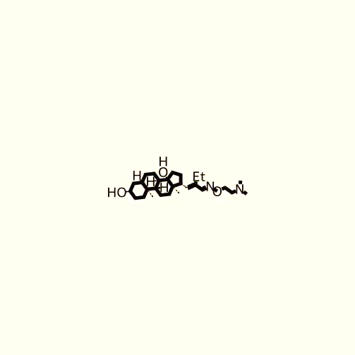 CCC(/C=N/OCCN(C)C)=C\[C@H]1CC[C@]2(O)[C@@H]3CC[C@@H]4C[C@@H](O)CC[C@]4(C)[C@H]3CC[C@]12C